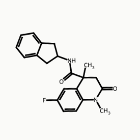 CN1C(=O)CC(C)(C(=O)NC2Cc3ccccc3C2)c2cc(F)ccc21